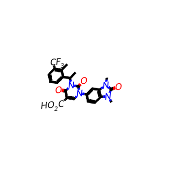 Cc1c(C(C)n2c(=O)c(C(=O)O)cn(-c3ccc4c(c3)n(C)c(=O)n4C)c2=O)cccc1C(F)(F)F